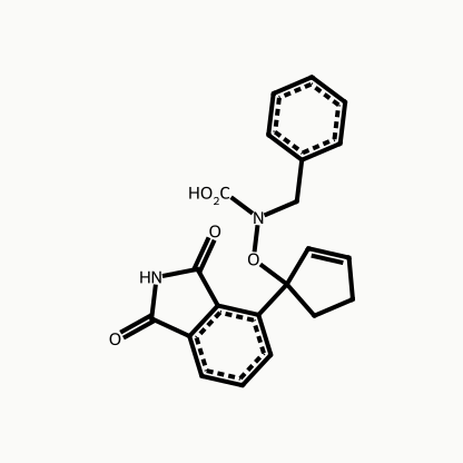 O=C1NC(=O)c2c1cccc2C1(ON(Cc2ccccc2)C(=O)O)C=CCC1